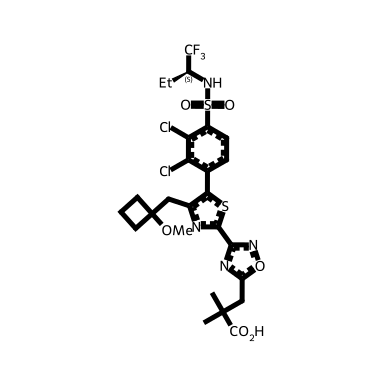 CC[C@H](NS(=O)(=O)c1ccc(-c2sc(-c3noc(CC(C)(C)C(=O)O)n3)nc2CC2(OC)CCC2)c(Cl)c1Cl)C(F)(F)F